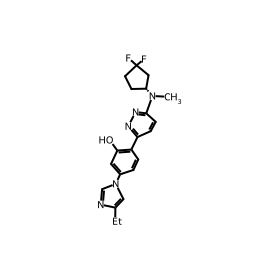 CCc1cn(-c2ccc(-c3ccc(N(C)[C@@H]4CCC(F)(F)C4)nn3)c(O)c2)cn1